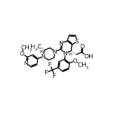 COc1cc(N2CCN(C3=Nc4ccsc4[C@H](CC(=O)O)N3c3cc(C(F)(F)F)ccc3OC)C[C@H]2C)ccn1